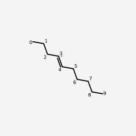 CCC/[C]=C/CCCCC